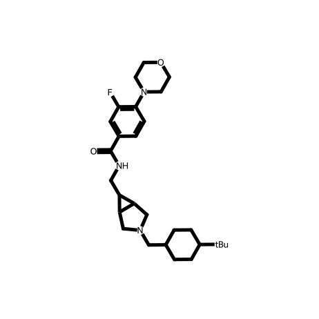 CC(C)(C)C1CCC(CN2CC3C(CNC(=O)c4ccc(N5CCOCC5)c(F)c4)C3C2)CC1